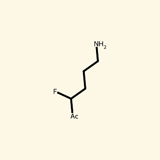 CC(=O)C(F)CCCN